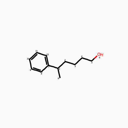 CC(CCCCO)c1[c]cccc1